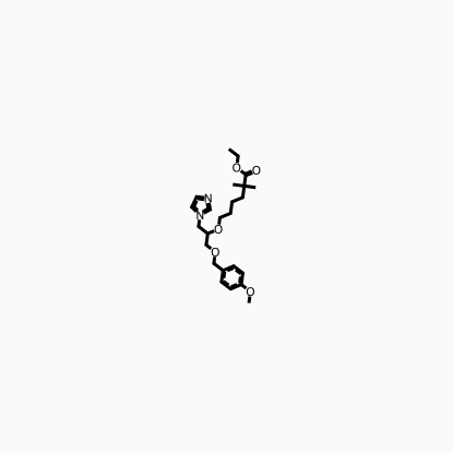 CCOC(=O)C(C)(C)CCCCOC(COCc1ccc(OC)cc1)Cn1ccnc1